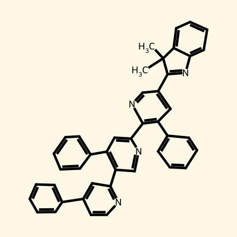 CC1(C)C(c2cnc(-c3cc(-c4ccccc4)c(-c4cc(-c5ccccc5)ccn4)cn3)c(-c3ccccc3)c2)=Nc2ccccc21